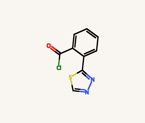 O=C(Cl)c1ccccc1-c1nncs1